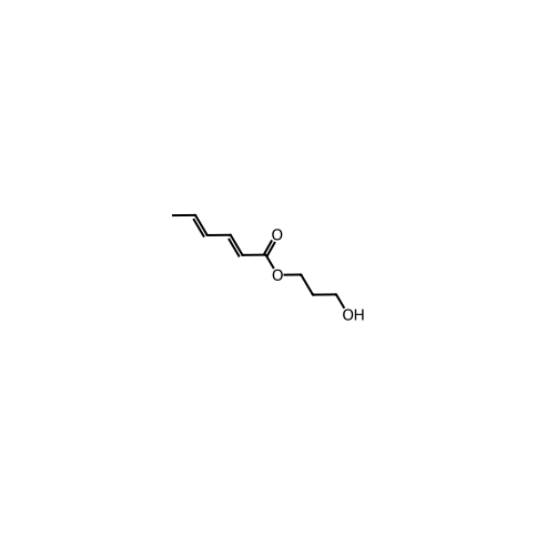 CC=CC=CC(=O)OCCCO